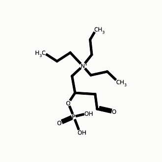 CCC[N+](CCC)(CCC)CC(CC=O)OP(=O)(O)O